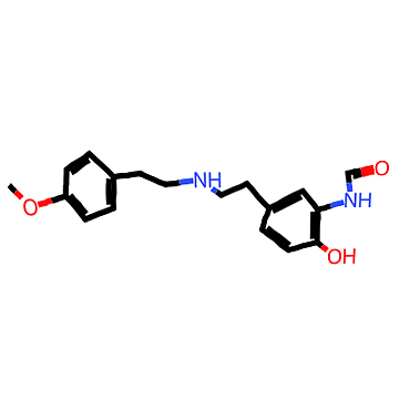 COc1ccc(CCNCCc2ccc(O)c(NC=O)c2)cc1